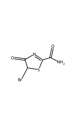 NC(=O)C1=NC(=O)C(Br)S1